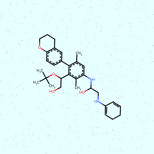 Cc1cc(NC(O)CNC2=CCCC=C2)c(C)c(C(CO)OC(C)(C)C)c1-c1ccc2c(c1)CCCO2